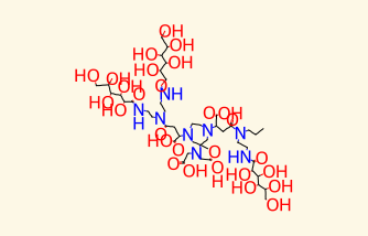 CCCN(CCNC(=O)C(O)C(O)C(O)C(O)CO)C(=O)CC(C(=O)O)N1CCN(C(CC(=O)N(CCNOCC(O)C(O)C(O)C(O)CO)CCNC(=O)C(O)C(O)C(O)C(O)CO)C(=O)O)CC(C)(N(CC(=O)O)CC(=O)O)C1